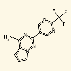 Nc1nc(-c2cnc(C(F)(F)F)nc2)nn2cccc12